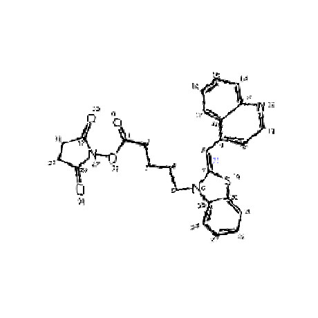 O=C(CCCCN1/C(=C/c2ccnc3ccccc23)Sc2ccccc21)ON1C(=O)CCC1=O